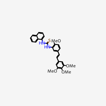 COc1ccc(C=Cc2cc(OC)c(OC)c(OC)c2)cc1NC(=S)Nc1cccc2ccccc12